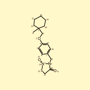 CC1(COc2ccc(CN3C(=O)CS[N+]3=O)cc2)CCCCC1